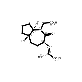 CCC[C@H](N[C@H]1CC[C@@H]2CCC[C@H]2N(CC(=O)O)C1=O)C(=O)OCC